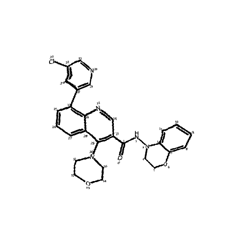 O=C(NN1CCOc2ccccc21)c1cnc2c(-c3cncc(Cl)c3)cccc2c1N1CCOCC1